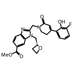 COC(=O)c1ccc2nc(CN3CCC(c4cccc(F)c4O)=CC3=O)n(C[C@@H]3CCO3)c2c1